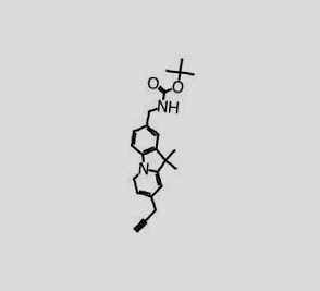 C#CCC1=CCN2C(=C1)C(C)(C)c1cc(CNC(=O)OC(C)(C)C)ccc12